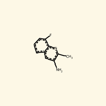 Cc1nc2c(F)cccc2cc1N